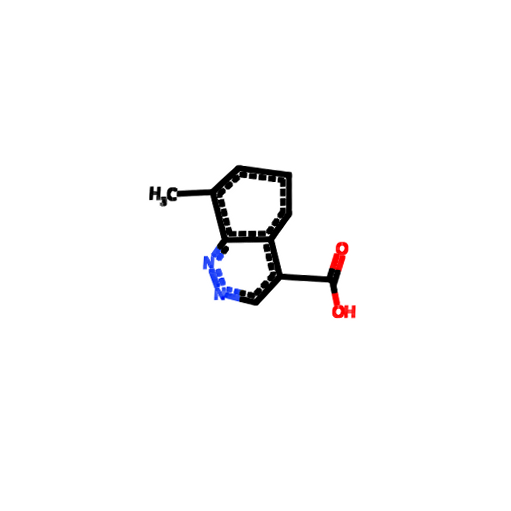 Cc1cccc2c(C(=O)O)cnnc12